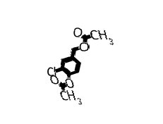 CC(=O)OCc1ccc(OC(C)=O)c(Cl)c1